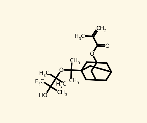 C=C(C)C(=O)OC12CC3CC(C1)CC(C(C)(C)OC(C)(C)C(C)(O)C(F)(F)F)(C3)C2